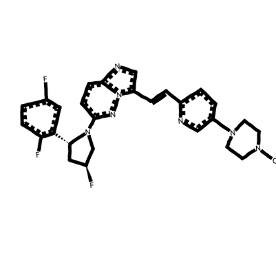 CN1CCN(c2ccc(/C=C/c3cnc4ccc(N5C[C@@H](F)C[C@@H]5c5cc(F)ccc5F)nn34)nc2)CC1